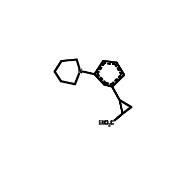 CCOC(=O)C1CC1c1cccc(N2CCCCC2)c1